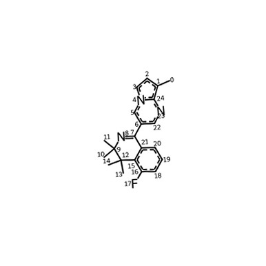 Cc1ccn2cc(C3=NC(C)(C)C(C)(C)c4c(F)cccc43)cnc12